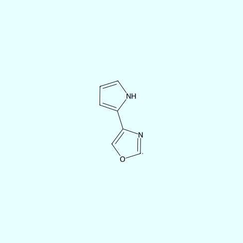 [c]1nc(-c2ccc[nH]2)co1